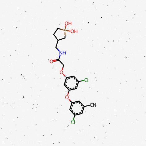 N#Cc1cc(Cl)cc(Oc2cc(Cl)cc(OCC(=O)NCC3CCS(O)(O)C3)c2)c1